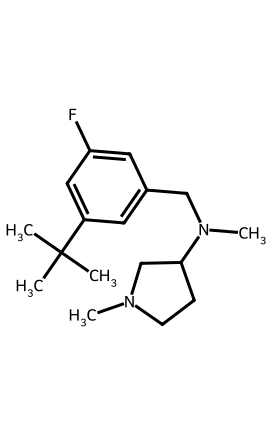 CN1CCC(N(C)Cc2cc(F)cc(C(C)(C)C)c2)C1